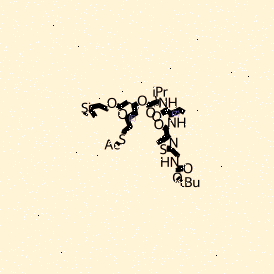 C/C=C(\NC(=O)c1csc(CNC(=O)OC(C)(C)C)n1)C(=O)N[C@H](C(=O)O[C@H](/C=C/CCSC(C)=O)CC(=O)OCC[Si](C)(C)C)C(C)C